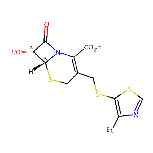 CCc1ncsc1SCC1=C(C(=O)O)N2C(=O)[C@@H](O)[C@H]2SC1